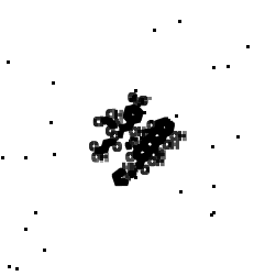 CN(C)[C@@H]1C(=O)C(C(=O)NCN2CCCC2)=C(O)[C@@]2(O)C(=O)C3=C(O)c4c(O)cccc4[C@@](C)(O)[C@H]3C[C@@H]12.O=C(O)CCC(=O)OC[C@@H](NC(=O)C(Cl)Cl)[C@H](O)c1ccc([N+](=O)[O-])cc1